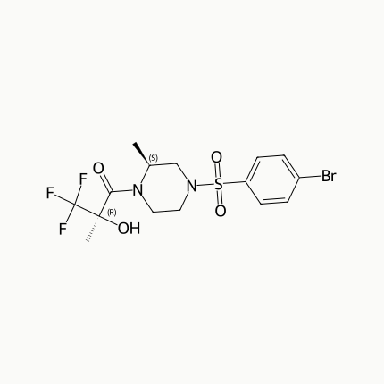 C[C@H]1CN(S(=O)(=O)c2ccc(Br)cc2)CCN1C(=O)[C@@](C)(O)C(F)(F)F